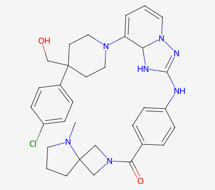 CN1CCCC12CN(C(=O)c1ccc(NC3=NN4C=CC=C(N5CCC(CO)(c6ccc(Cl)cc6)CC5)C4N3)cc1)C2